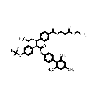 CCC[C@H](c1ccc(C(=O)NCCC(=O)OCC)cc1)[C@@H](C(=O)Nc1ccc(-c2c(C)cc(C)cc2C)cc1)c1ccc(OC(F)(F)F)cc1